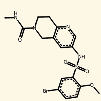 CNC(=O)N1CCc2ncc(NS(=O)(=O)c3cc(Br)ccc3OC)cc2C1